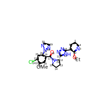 CCOc1ncccc1-c1nnc([C@@H]2CCCN2C(=O)c2cc(OC)c(Cl)cc2-n2nccn2)[nH]1